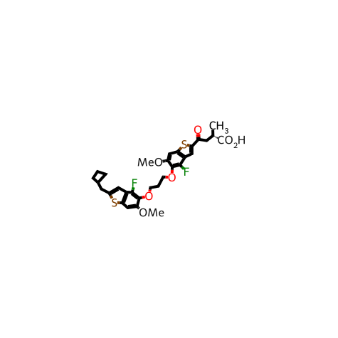 COc1cc2sc(CC3CCC3)cc2c(F)c1OCCCOc1c(OC)cc2sc(C(=O)C[C@H](C)C(=O)O)cc2c1F